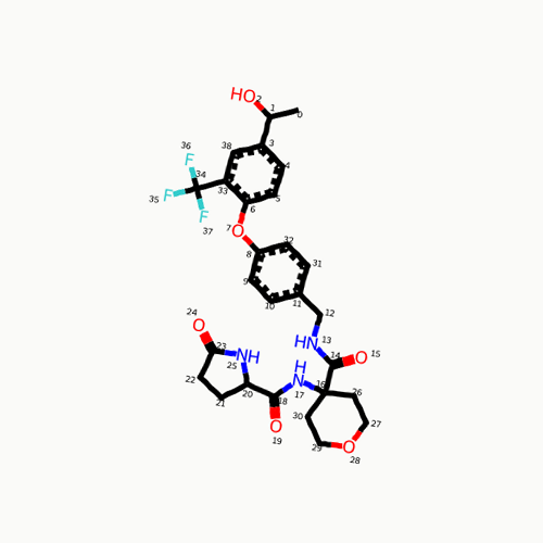 CC(O)c1ccc(Oc2ccc(CNC(=O)C3(NC(=O)C4CCC(=O)N4)CCOCC3)cc2)c(C(F)(F)F)c1